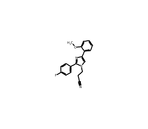 COc1ccccc1-c1cn(CCC#N)c(-c2ccc(F)cc2)n1